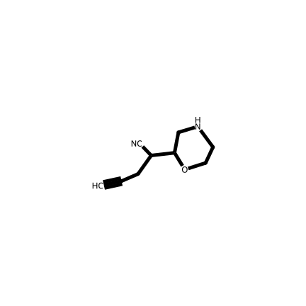 C#CCC(C#N)C1CNCCO1